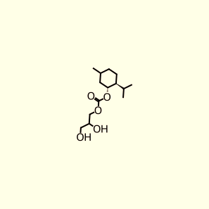 CC1CC[C@@H](C(C)C)[C@H](OC(=O)OCC(O)CO)C1